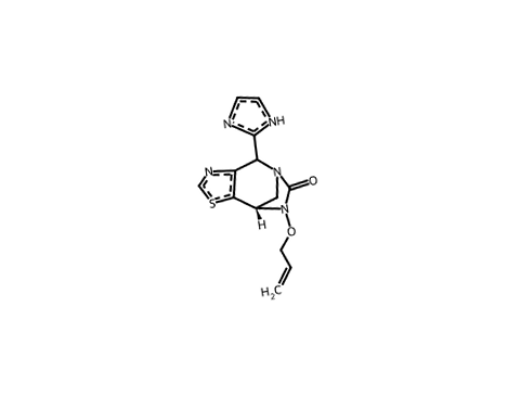 C=CCON1C(=O)N2C[C@H]1c1scnc1C2c1ncc[nH]1